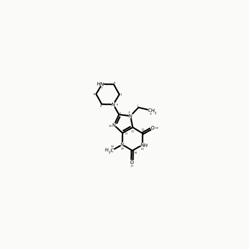 CCn1c(N2CCNCC2)nc2c1c(=O)[nH]c(=O)n2C